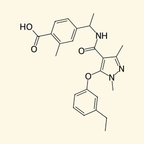 CCc1cccc(Oc2c(C(=O)NC(C)c3ccc(C(=O)O)c(C)c3)c(C)nn2C)c1